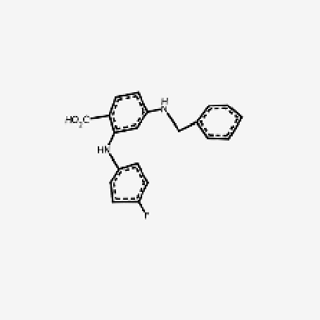 O=C(O)c1ccc(NCc2ccccc2)cc1Nc1ccc(F)cc1